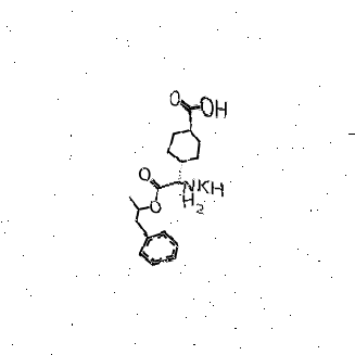 CC(Cc1ccccc1)OC(=O)C(N)[C@H]1CC[C@H](C(=O)O)CC1.[KH]